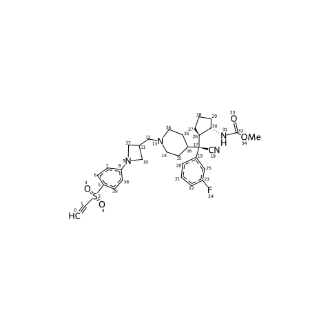 C#CS(=O)(=O)c1ccc(N2CC(CN3CCC([C@@](C#N)(c4cccc(F)c4)[C@H]4CCC[C@@H]4NC(=O)OC)CC3)C2)cc1